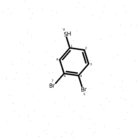 Sc1ccc(Br)c(Br)c1